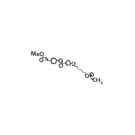 C=CC(=O)OCCCCCCOc1ccc(C(=O)Oc2ccc(/C=C/C(=O)OC)cc2)cc1